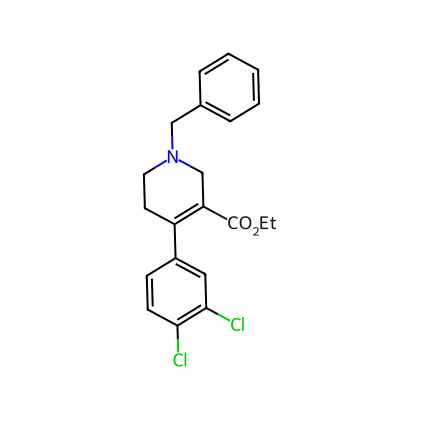 CCOC(=O)C1=C(c2ccc(Cl)c(Cl)c2)CCN(Cc2ccccc2)C1